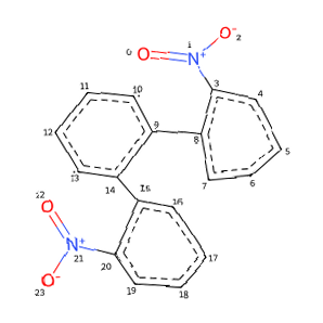 O=[N+]([O-])c1ccccc1-c1[c]cc[c]c1-c1ccccc1[N+](=O)[O-]